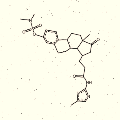 Cc1cnc(NC(=O)CCC2CC(=O)C3(C)CCC4c5ccc(OS(=O)(=O)N(C)C)cc5CCC4C23)s1